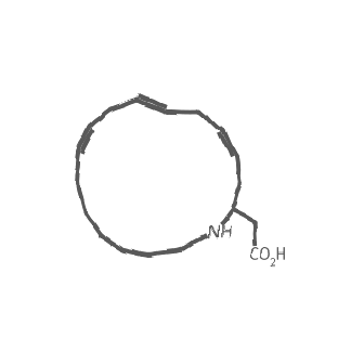 O=C(O)CC1C/C=C\C/C=C/C/C=C\CCCCCCN1